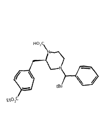 CCOC(=O)c1ccc(C[C@@H]2CN(C(c3ccccc3)C(C)(C)C)CCN2C(=O)O)cc1